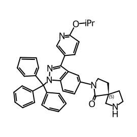 CC(C)Oc1ccc(-c2nn(C(c3ccccc3)(c3ccccc3)c3ccccc3)c3ccc(N4CC[C@]5(CCNC5)C4=O)cc23)cn1